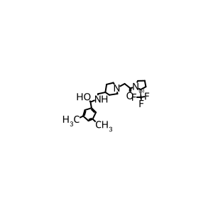 Cc1cc(C)cc(C(O)NCC2CCN(CC(=O)N3CCC[C@H]3C(F)(F)F)CC2)c1